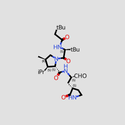 CC(C)[C@@H]1[C@@H](C(=O)N[C@H](C=O)C[C@@H]2CCNC2=O)N(C(=O)[C@@H](NC(=O)CC(C)(C)C)C(C)(C)C)C[C@@H]1C